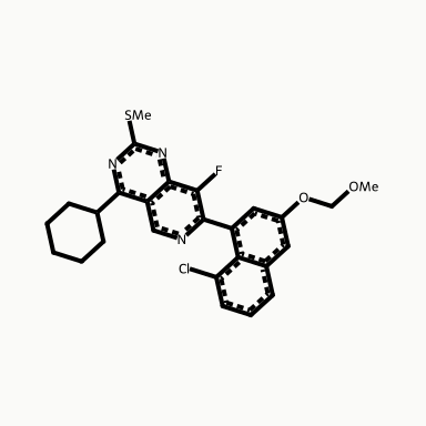 COCOc1cc(-c2ncc3c(C4CCCCC4)nc(SC)nc3c2F)c2c(Cl)cccc2c1